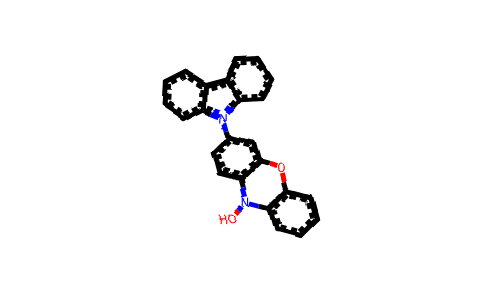 ON1c2ccccc2Oc2cc(-n3c4ccccc4c4ccccc43)ccc21